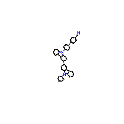 N#Cc1ccc(-c2ccc(-n3c4ccccc4c4cc(-c5ccc6c(c5)c5ccccc5n6-c5ccccc5)ccc43)cc2)cc1